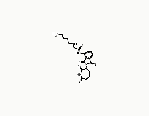 NCCCCNCC(=O)Nc1cccc2c1C(=O)N([C@H]1CCCC(=O)NC1=O)C2=O